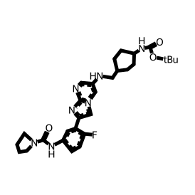 CC(C)(C)OC(=O)NC1CCC(CNc2cnc3nc(-c4cc(NC(=O)N5CCCC5)ccc4F)cn3c2)CC1